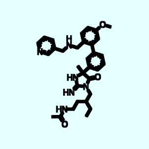 CCC(CCNC(C)=O)CN1C(=N)NC(C)(c2cccc(-c3cc(OC)ccc3CNCc3cccnc3)c2)C1=O